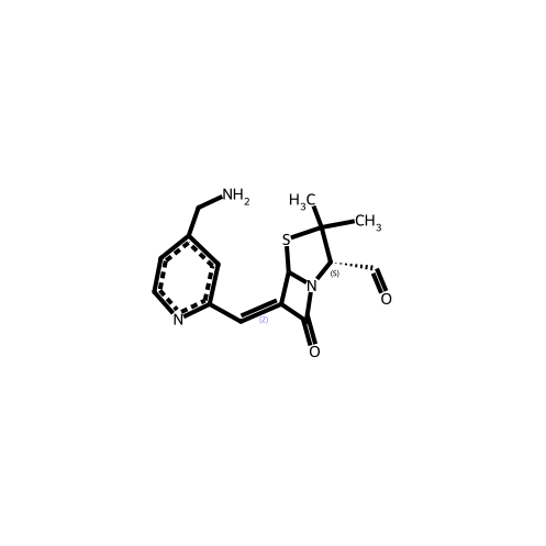 CC1(C)SC2/C(=C\c3cc(CN)ccn3)C(=O)N2[C@H]1C=O